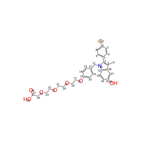 Cc1c(-c2ccc(Br)cc2)n(Cc2ccc(OCCOCCOCCOCC(=O)O)cc2)c2ccc(O)cc12